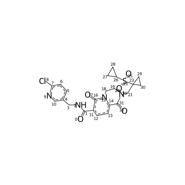 O=C(NCc1ccc(Cl)nc1)c1ccc2n(c1=O)CCN(CC1(S(=O)(=O)C3CC3)CC1)C2=O